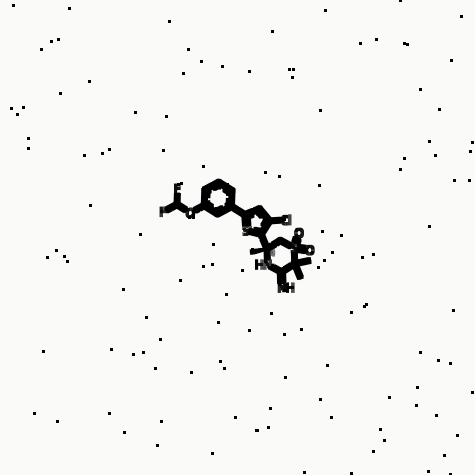 CC1(C)C(=N)N[C@](C)(c2sc(-c3cccc(OC(F)F)c3)cc2Cl)CS1(=O)=O